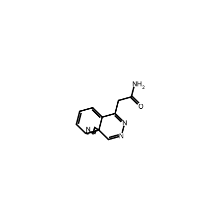 NC(=O)CC1=NN=CC23C=CN=C2C=CC=C13